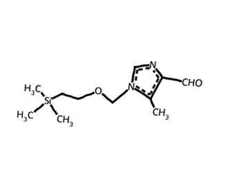 Cc1c(C=O)ncn1COCC[Si](C)(C)C